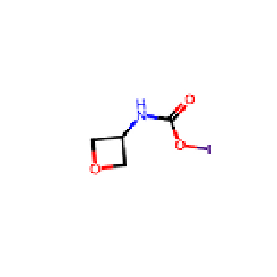 O=C(NC1COC1)OI